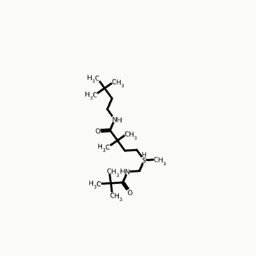 C[SH](CCC(C)(C)C(=O)NCCC(C)(C)C)CNC(=O)C(C)(C)C